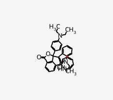 CCN(CC)c1ccc(C2(c3c(C)n(CC)c4ccccc34)OC(=O)c3cccc(C4=CC=CC=CN4)c32)cc1